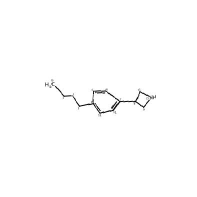 CCCCc1ccc(C2CNC2)cc1